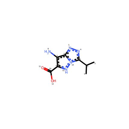 CC(C)c1nnc2c(N)c(C(=O)O)[nH]n12